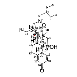 CCC(CC)CN1C[C@@H]2C[C@H]3[C@@H]4CCC5=CC(=O)C=C[C@]5(C)[C@@]4(F)[C@@H](O)C[C@]3(C)[C@]2(C(=O)SCF)O1